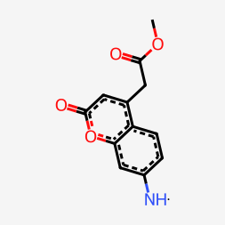 COC(=O)Cc1cc(=O)oc2cc([NH])ccc12